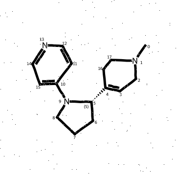 CN1CC=C([C@@H]2CCCN2c2ccncc2)CC1